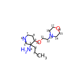 CCCC1(N)C=NCCC1OCCN1CCOCC1